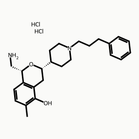 Cc1ccc2c(c1O)C[C@@H](C1CCN(CCCc3ccccc3)CC1)O[C@H]2CN.Cl.Cl